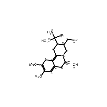 COC1=C(OC)CC2=C3CC(C(N)(C(=O)O)C(C)C)C(CC(C)C)CN3CCC2=C1.Cl.Cl